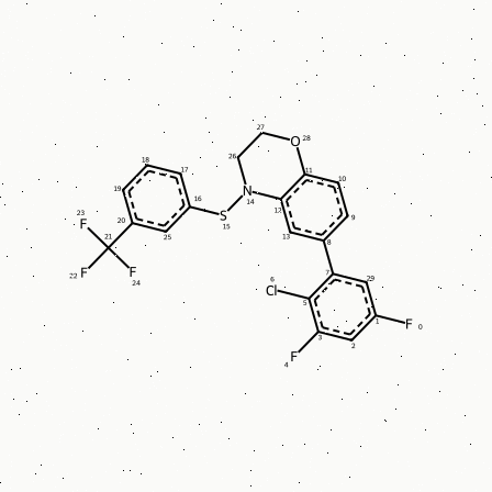 Fc1cc(F)c(Cl)c(-c2ccc3c(c2)N(Sc2cccc(C(F)(F)F)c2)CCO3)c1